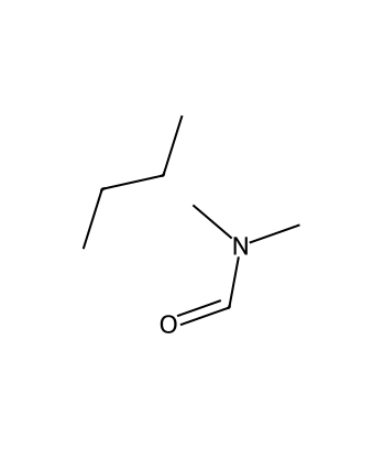 CCCC.CN(C)C=O